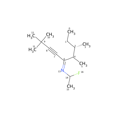 CC[C@H](C)C(C)/C(C#CC(C)(C)C)=N\C(C)F